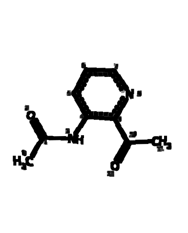 CC(=O)Nc1cccnc1C(C)=O